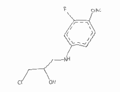 CC(=O)Oc1ccc(NCC(O)CCl)cc1F